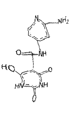 Nc1cc(NC(=O)c2c(O)[nH]c(=O)[nH]c2=O)ccn1